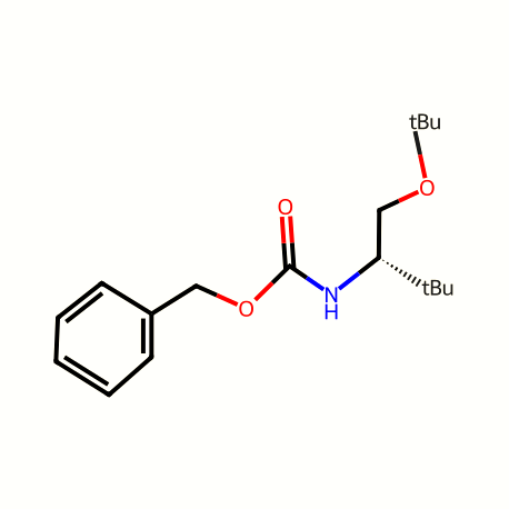 CC(C)(C)OC[C@@H](NC(=O)OCc1ccccc1)C(C)(C)C